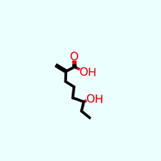 C=C(CCCC(O)CC)C(=O)O